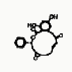 O=C1/C=C/CCC2OC2C[C@H](c2ccccc2)OC(=O)c2c(O)cc(O)cc2C1